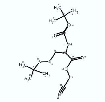 CC(C)(C)OC(=O)NC(CSSC(C)(C)C)C(=O)OCC#N